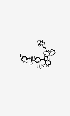 COC/C=C/C(=O)N1CCCC[C@H]1c1nc(-c2ccc(C(=O)Nc3cc(F)ccn3)cc2)c2c(N)nccn12